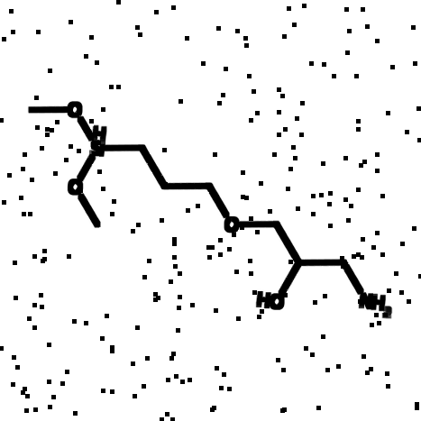 CO[SiH](CCCOCC(O)CN)OC